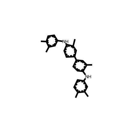 Cc1ccc(Nc2ccc(-c3ccc(Nc4ccc(C)c(C)c4)c(C)c3)cc2C)cc1C